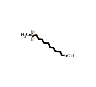 CCCCCCCCCCCCCCCCCC[Si](C)(Br)Br